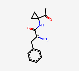 CC(=O)C1(NC(=O)[C@@H](N)Cc2ccccc2)CC1